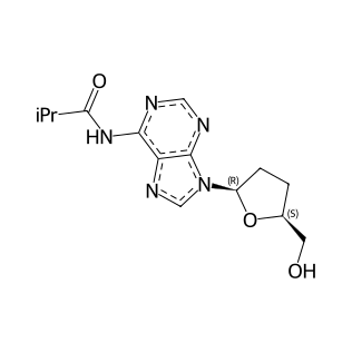 CC(C)C(=O)Nc1ncnc2c1ncn2[C@H]1CC[C@@H](CO)O1